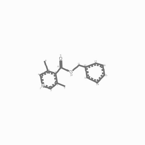 Cc1cncc(C)c1C(=O)OCc1ccccc1